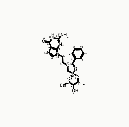 CCOC(O)[C@@H](C)NP(=O)(COCCn1cnc2c(=O)[nH]c(N)nc21)OCc1ccccc1